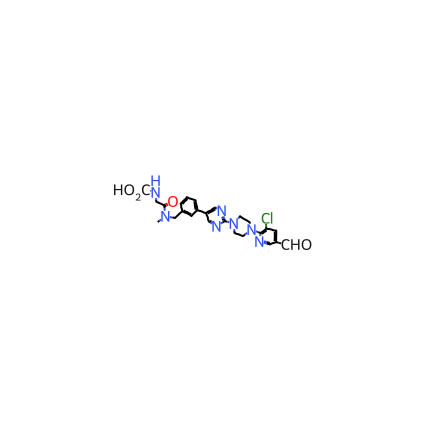 CN(Cc1cccc(-c2cnc(N3CCN(c4ncc(C=O)cc4Cl)CC3)nc2)c1)C(=O)CNC(=O)O